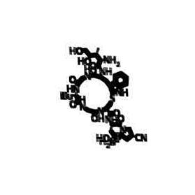 CC[C@H](C)[C@@H]1NC(=O)CNC(=O)[C@@H](NC(=O)[C@@H](N)[C@@H](C)[C@@H](O)CO)Cc2c([nH]c3ccccc23)SC[C@@H](C(=O)N[C@@H](CC(N)=O)C(=O)N2C[C@H](C#N)C[C@H]2C(=O)O)NC(=O)CNC1=O